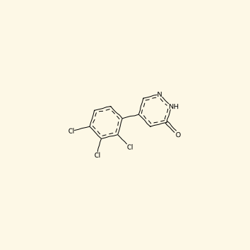 O=c1cc(-c2ccc(Cl)c(Cl)c2Cl)cn[nH]1